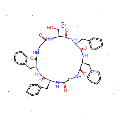 C[C@@H](O)[C@@H]1NC(=O)CNC(=O)[C@H](Cc2ccccc2)NC(=O)[C@H](Cc2ccccc2)NC(=O)CNC(=O)[C@H](Cc2ccccc2)NC(=O)[C@H](Cc2ccccc2)NC1=O